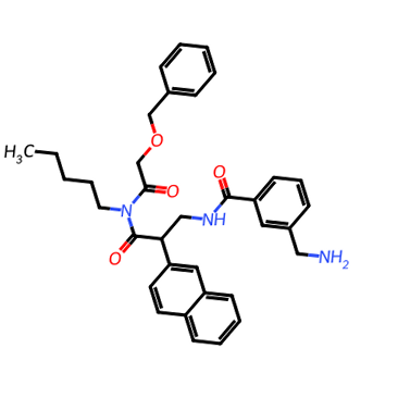 CCCCCN(C(=O)COCc1ccccc1)C(=O)C(CNC(=O)c1cccc(CN)c1)c1ccc2ccccc2c1